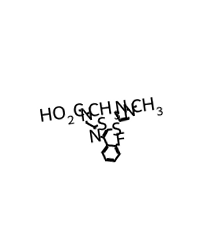 CN(Cc1nc(-c2ccccc2F)c(Sc2cnn(C)c2)s1)C(=O)O